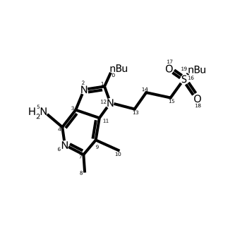 CCCCc1nc2c(N)nc(C)c(C)c2n1CCCS(=O)(=O)CCCC